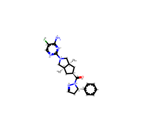 Nc1nc(N2C[C@H]3C[C@@H](C(=O)N4N=CC[C@H]4c4ccccc4)C[C@H]3C2)ncc1F